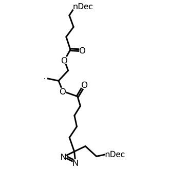 [CH2]C(COC(=O)CCCCCCCCCCCCC)OC(=O)CCCCC1(CCCCCCCCCCCC)N=N1